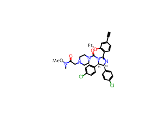 C#Cc1ccc(C2=N[C@@H](c3ccc(Cl)cc3)[C@@H](c3ccc(Cl)cc3)N2C(=O)N2CCN(CC(=O)N(C)OC)CC2)c(OCC)c1